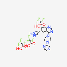 O=C(O)C(F)(F)F.O=C(O)C(F)(F)F.O=C(O)C(F)(F)F.c1cnc(N2CCN(c3ncnc4ccc(-c5cn[nH]c5)cc34)CC2)cn1